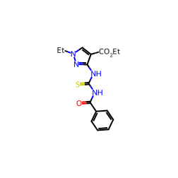 CCOC(=O)c1cn(CC)nc1NC(=S)NC(=O)c1ccccc1